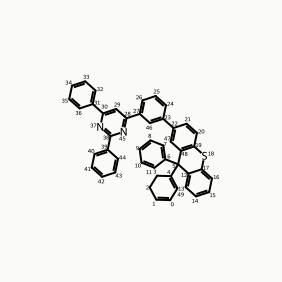 C1=CCCC(C2(c3ccccc3)c3ccccc3Sc3ccc(-c4cccc(-c5cc(-c6ccccc6)nc(-c6ccccc6)n5)c4)cc32)=C1